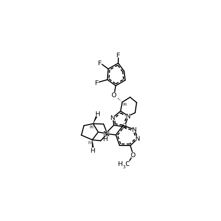 COc1cc(N2C[C@H]3CC[C@@H](C2)C3Nc2nc3n(n2)CCC[C@H]3Oc2ccc(F)c(F)c2F)cnn1